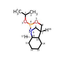 CC(C)OP1OC[C@H]2CN1[C@@H]1CCCCC21